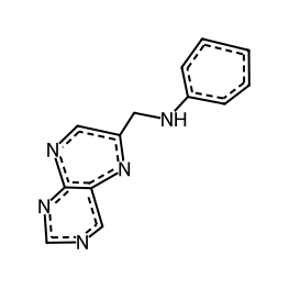 c1ccc(NCc2cnc3ncncc3n2)cc1